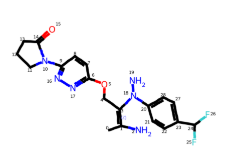 C/C(N)=C(\COc1ccc(N2CCCC2=O)nn1)N(N)c1ccc(C(F)F)cc1